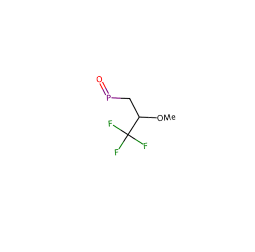 COC(CP=O)C(F)(F)F